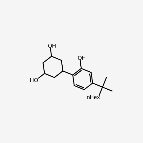 CCCCCCC(C)(C)c1ccc(C2CC(O)CC(O)C2)c(O)c1